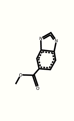 COC(=O)c1ccc2c(c1)N=C=N2